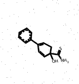 NC(=S)C1(O)C=CC(c2ccccc2)=CC1